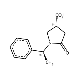 C[C@@H](c1ccccc1)N1C[C@H](C(=O)O)CC1=O